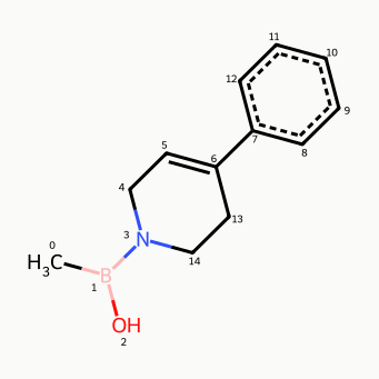 CB(O)N1CC=C(c2ccccc2)CC1